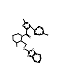 Cc1nc(C(=O)N2CCCC(C)C2COc2nc3ccccc3o2)c(-c2ccc(F)cc2)s1